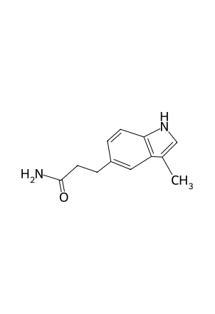 Cc1c[nH]c2ccc(CCC(N)=O)cc12